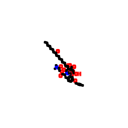 CC#CCOc1ccc(C[C@H](NC(=O)[C@@H](/C=C/CCCCCCC(=O)CCCCCCC)[C@@](O)(CC(=O)O)C(=O)O)C(=O)OCC(=O)N(C)C)cc1